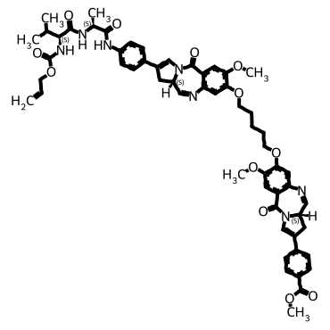 C=CCOC(=O)N[C@H](C(=O)N[C@@H](C)C(=O)Nc1ccc(C2=CN3C(=O)c4cc(OC)c(OCCCCCOc5cc6c(cc5OC)C(=O)N5C=C(c7ccc(C(=O)OC)cc7)C[C@H]5C=N6)cc4N=C[C@@H]3C2)cc1)C(C)C